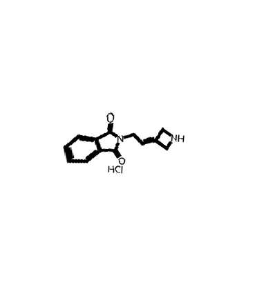 Cl.O=C1c2ccccc2C(=O)N1CC=C1CNC1